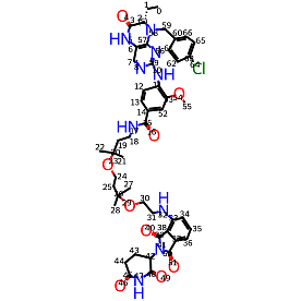 CC[C@H]1C(=O)Nc2cnc(Nc3ccc(C(=O)NCCC(C)(C)OCCC(C)(C)OCCNc4cccc5c4C(=O)N(C4CCC(=O)NC4=O)C5=O)cc3OC)nc2N1Cc1ccc(Cl)cc1